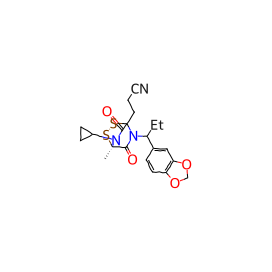 CCC(c1ccc2c(c1)OCO2)N1C(=O)[C@@]2(C)SSC1(CCC#N)C(=O)N2C1CC1